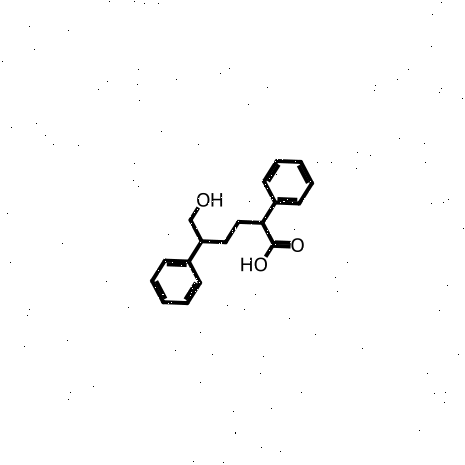 O=C(O)C(CCC(CO)c1ccccc1)c1ccccc1